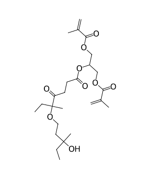 C=C(C)C(=O)OCC(COC(=O)C(=C)C)OC(=O)CCC(=O)C(C)(CC)OCCC(C)(O)CC